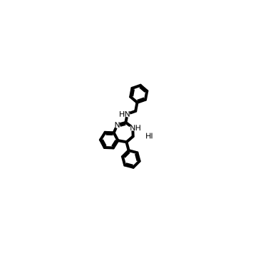 I.c1ccc(CNC2=Nc3ccccc3C(c3ccccc3)CN2)cc1